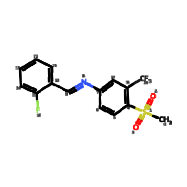 CS(=O)(=O)c1ccc(/N=C/c2ccccc2F)cc1C(F)(F)F